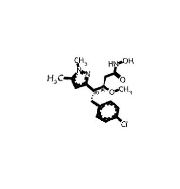 CO[C@H](CC(=O)NO)[C@H](Cc1ccc(Cl)cc1)c1cc(C)n(C)n1